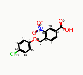 O=C(O)c1ccc(COc2ccc(Cl)cc2)c([N+](=O)[O-])c1